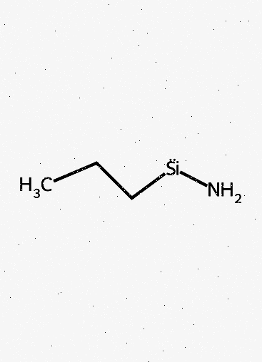 CCC[Si]N